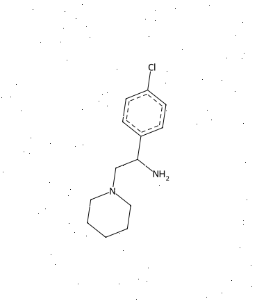 NC(CN1CCCCC1)c1ccc(Cl)cc1